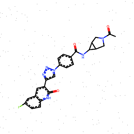 CC(=O)N1CC2C(C1)C2NC(=O)c1ccc(-n2cc(-c3cc4cc(F)ccc4[nH]c3=O)nn2)cc1